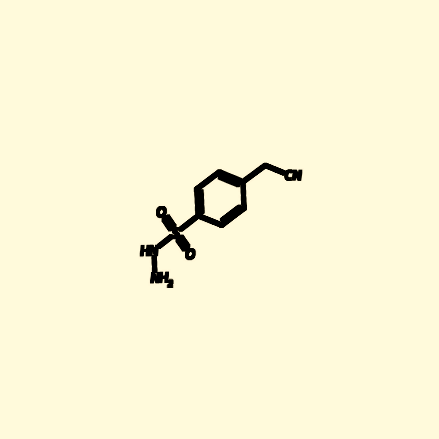 N#CCc1ccc(S(=O)(=O)NN)cc1